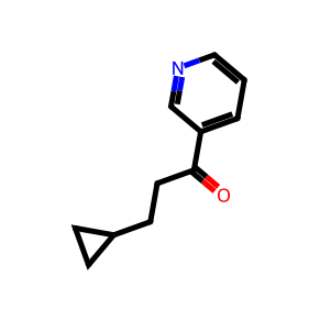 O=C(CCC1CC1)c1cccnc1